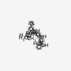 CC(C)(C)OC(=O)Nc1ccc(-c2cccs2)cc1NC(=O)c1ccc(NC2CCN(C(O)C3(O)CCCCC3)CC2)cc1